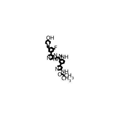 CC(C)C(=O)Nc1cncc(-c2ccc3[nH]nc(-c4nc5c(-c6cc(F)cc(CN7CCC(O)CC7)c6)cncc5[nH]4)c3c2)c1